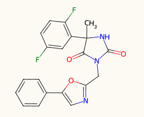 CC1(c2cc(F)ccc2F)NC(=O)N(Cc2ncc(-c3ccccc3)o2)C1=O